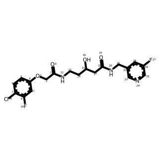 O=C(COc1ccc(Cl)c(F)c1)NCCC(O)CC(=O)NCc1cncc(F)c1